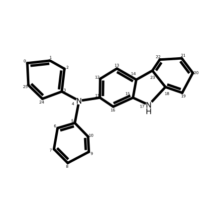 c1ccc(N(c2ccccc2)c2ccc3c(c2)[nH]c2ccccc23)cc1